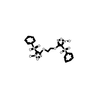 O=S(=O)(c1ccccc1)c1c(OCCOc2no[n+]([O-])c2S(=O)(=O)c2ccccc2)no[n+]1[O-]